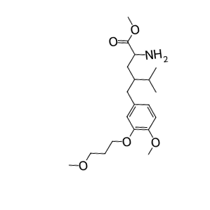 COCCCOc1cc(CC(CC(N)C(=O)OC)C(C)C)ccc1OC